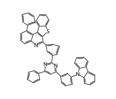 c1ccc(-c2cc(-c3cccc(-n4c5ccccc5c5ccccc54)c3)nc(-c3cccc(-c4nc5cccc(-c6ccccc6)c5c5c4sc4ccccc45)c3)n2)cc1